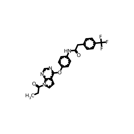 CCC(=O)n1ccc2c(Oc3ccc(NC(=O)Cc4ccc(C(F)(F)F)cc4)cc3)ncnc21